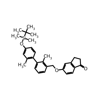 Cc1cc(O[Si](C)(C)C(C)(C)C)ccc1-c1cccc(COc2ccc3c(c2)CCC3=O)c1C